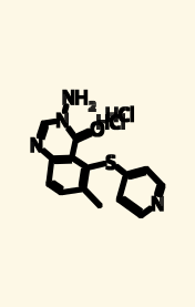 Cc1ccc2ncn(N)c(=O)c2c1Sc1ccncc1.Cl.Cl